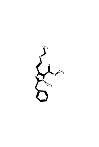 CCO/C=C/c1nc(Cc2ccccc2)n(C)c1C(=O)OC